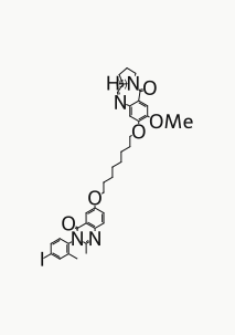 COc1cc2c(cc1OCCCCCCCCOc1ccc3nc(C)n(-c4ccc(I)cc4C)c(=O)c3c1)N=C[C@@H]1CCCN1C2=O